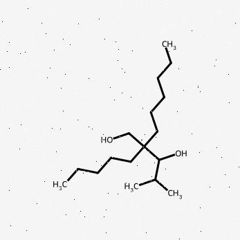 CCCCCCC(CO)(CCCCC)C(O)C(C)C